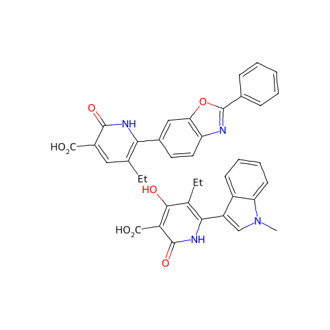 CCc1c(-c2cn(C)c3ccccc23)[nH]c(=O)c(C(=O)O)c1O.CCc1cc(C(=O)O)c(=O)[nH]c1-c1ccc2nc(-c3ccccc3)oc2c1